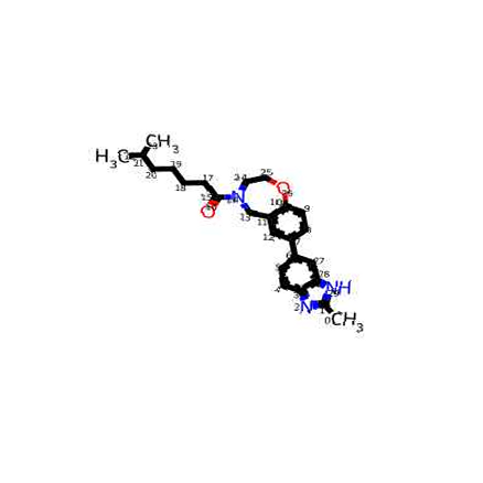 Cc1nc2ccc(-c3ccc4c(c3)CN(C(=O)CCCCC(C)C)CCO4)cc2[nH]1